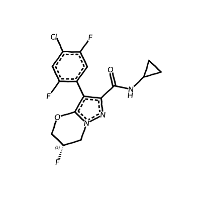 O=C(NC1CC1)c1nn2c(c1-c1cc(F)c(Cl)cc1F)OC[C@@H](F)C2